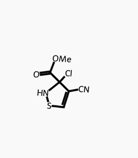 COC(=O)C1(Cl)NSC=C1C#N